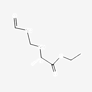 CCOC(=O)[C@H](C)NCNC=O